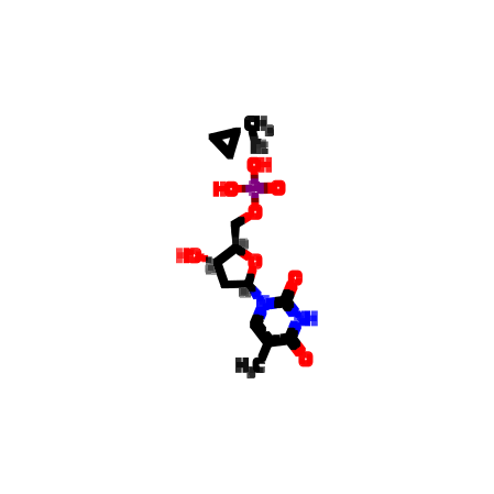 C1CC1.CCC.Cc1cn([C@H]2C[C@H](O)[C@@H](COP(=O)(O)O)O2)c(=O)[nH]c1=O